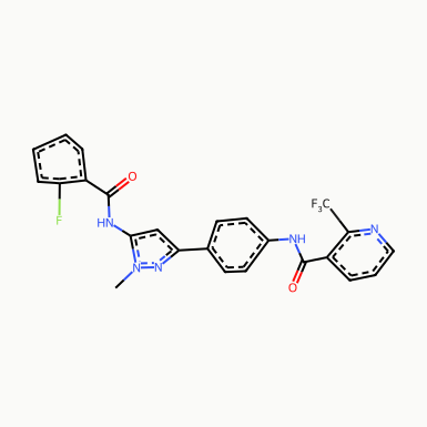 Cn1nc(-c2ccc(NC(=O)c3cccnc3C(F)(F)F)cc2)cc1NC(=O)c1ccccc1F